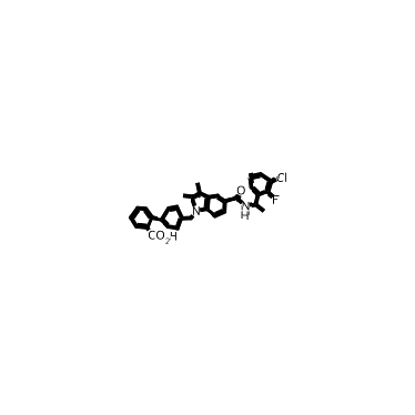 Cc1c(C)n(Cc2ccc(-c3ccccc3C(=O)O)cc2)c2ccc(C(=O)NC(C)c3cccc(Cl)c3F)cc12